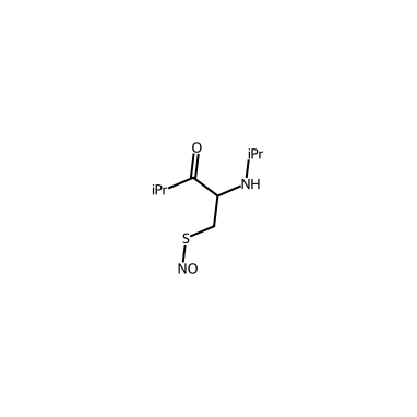 CC(C)NC(CSN=O)C(=O)C(C)C